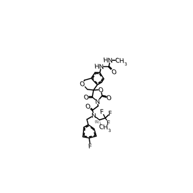 CNC(=O)Nc1ccc2c(c1)COCC21OC(=O)N(CC(=O)N(Cc2ccc(F)cc2)[C@@H](C)C(F)(F)F)C1=O